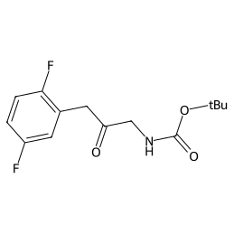 CC(C)(C)OC(=O)NCC(=O)Cc1cc(F)ccc1F